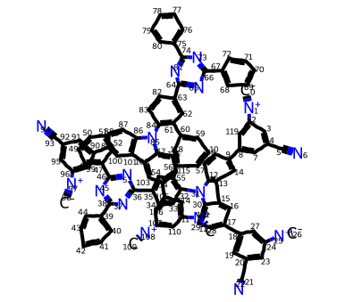 [C-]#[N+]c1cc(C#N)cc(-c2ccc3c(c2)c2cc(-c4cc(C#N)cc([N+]#[C-])c4)ccc2n3-c2ccc(-c3nc(-c4ccccc4)nc(-c4ccccc4)n3)cc2-c2cccc(-c3cc(-c4nc(-c5ccccc5)nc(-c5ccccc5)n4)ccc3-n3c4ccc(-c5cc(C#N)cc([N+]#[C-])c5)cc4c4cc(-c5cc([N+]#[C-])cc([N+]#[C-])c5)ccc43)c2)c1